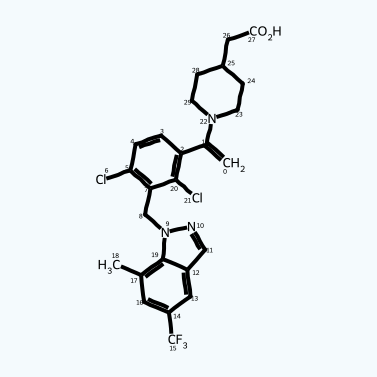 C=C(c1ccc(Cl)c(Cn2ncc3cc(C(F)(F)F)cc(C)c32)c1Cl)N1CCC(CC(=O)O)CC1